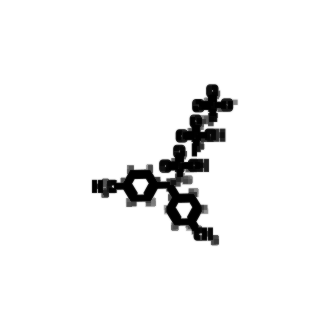 Cc1ccc([I+]c2ccc(C)cc2)cc1.O=S(=O)(O)F.O=S(=O)(O)F.O=S(=O)([O-])F